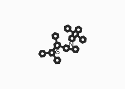 c1ccc(-c2cc(-c3ccccc3)c3sc4c(-c5ccc6c7ccccc7n(-c7ccc8c(-c9ccccc9)c9ccccc9c(-c9ccccc9)c8c7)c6c5)cc(-c5ccccc5)cc4c3c2)cc1